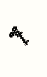 COC(=O)CCCCCCNC(=O)N1CCN(C(c2ccccn2)c2ccccn2)CC1